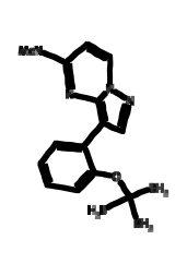 BC(B)(B)Oc1ccccc1-c1cnn2ccc(NC)nc12